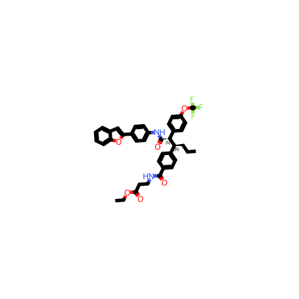 CCC[C@@H](c1ccc(C(=O)NCCC(=O)OCC)cc1)[C@H](C(=O)Nc1ccc(-c2cc3ccccc3o2)cc1)c1ccc(OC(F)(F)F)cc1